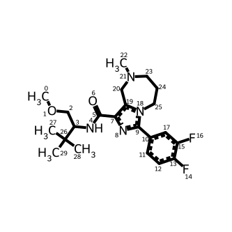 COCC(NC(=O)c1nc(-c2ccc(F)c(F)c2)n2c1CN(C)CCC2)C(C)(C)C